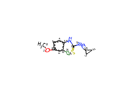 COc1ccc(NC(=S)NC2CC2)c(Cl)c1